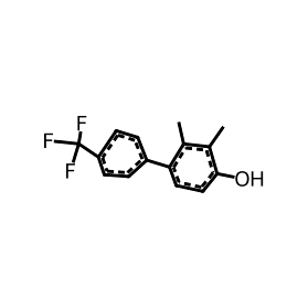 Cc1c(O)ccc(-c2ccc(C(F)(F)F)cc2)c1C